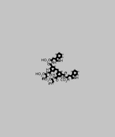 CC(C)CC(NC(=O)c1cc(Cc2cc(C(=O)NC(Cc3c[nH]c4ccccc34)C(=O)O)cc(C(=O)NC(CC(C)C)C(=O)O)c2)cc(C(=O)NC(Cc2c[nH]c3ccccc23)C(=O)O)c1)C(=O)O